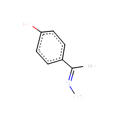 CC(=O)O/N=C(\[C]=O)c1ccc(O)cc1